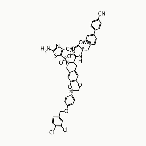 COC(=O)[C@H](Cc1ccc(-c2ccc(C#N)cc2)cc1)NC(=O)C1Cc2cc3c(cc2CN1S(=O)(=O)c1sc(N)nc1C)O[C@@H](c1ccc(OCc2ccc(Cl)c(Cl)c2)cc1)CO3